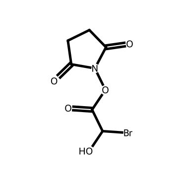 O=C(ON1C(=O)CCC1=O)C(O)Br